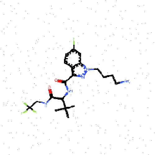 CC(C)(C)C(NC(=O)c1nn(CCCCN)c2cc(F)ccc12)C(=O)NCC(F)(F)F